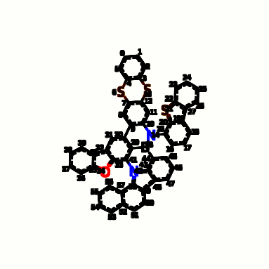 c1ccc2c(c1)Sc1cc3c(cc1S2)N(c1cccc2c1sc1ccccc12)B1c2c-3cc3c(oc4ccccc43)c2-n2c3c1cccc3c1ccc3ccccc3c12